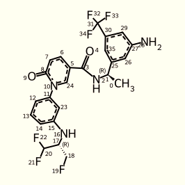 C[C@@H](NC(=O)c1ccc(=O)n(-c2cccc(N[C@H](CF)C(F)F)c2)c1)c1cc(N)cc(C(F)(F)F)c1